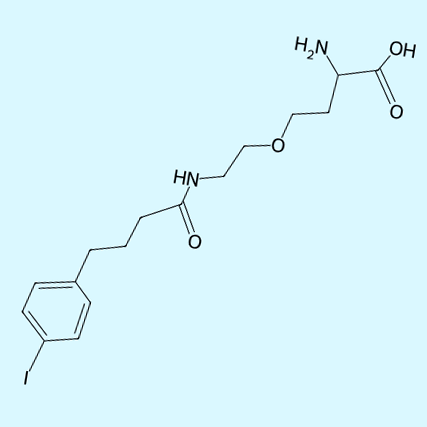 NC(CCOCCNC(=O)CCCc1ccc(I)cc1)C(=O)O